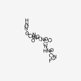 O=C(NCCN1CCC(C(=O)N2CCC(O)(Cn3cnc4cc(OCCN5CCNCC5)ccc4c3=O)CC2)C(c2ccccc2)C1)c1ccc2c(F)ccnc2c1